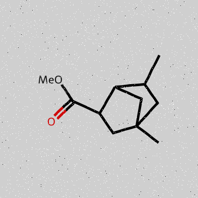 COC(=O)C1CC2(C)CC(C)C1C2